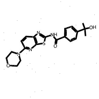 CC(C)(O)c1ccc(C(=O)Nc2nc3ccc(N4CCOCC4)nc3s2)cc1